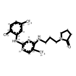 O=C1CCCN1CCCNc1nc(Nc2cc(C(F)(F)F)ccc2Cl)ncc1C(F)(F)F